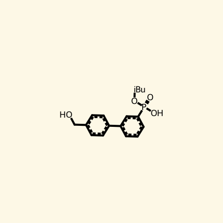 CCC(C)OP(=O)(O)c1cccc(-c2ccc(CO)cc2)c1